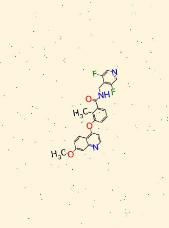 COc1ccc2c(Oc3cccc(C(=O)NCc4c(F)cncc4F)c3C)ccnc2c1